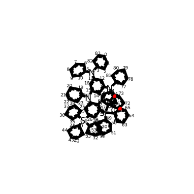 c1ccc(N(c2ccccc2)c2cc3c4c(c2)N(c2ccccc2)c2cc([Si](c5ccccc5)(c5ccccc5)c5ccccc5)cc([Si](c5ccccc5)(c5ccccc5)c5ccccc5)c2B4c2ccccc2N3c2ccccc2)cc1